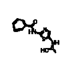 CB(O)Nc1cnc(NC(=O)c2ccccc2)s1